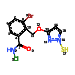 O=C(NCl)c1cccc(Br)c1COc1ccn(S)n1